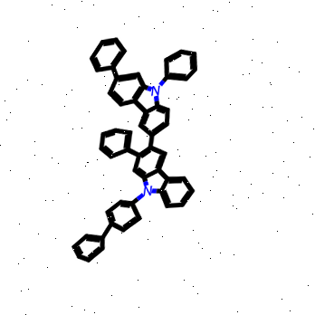 c1ccc(-c2ccc(-n3c4ccccc4c4cc(-c5ccc6c(c5)c5ccc(-c7ccccc7)cc5n6-c5ccccc5)c(-c5ccccc5)cc43)cc2)cc1